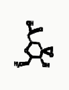 C=C[C@H]1O[C@H](CC(=O)O)C[C@@]2(CO2)[C@@H]1O